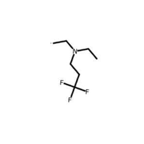 [CH2]CN(CC)CCC(F)(F)F